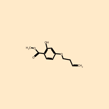 C=CCCOc1ccc(C(=O)OC)c(O)c1